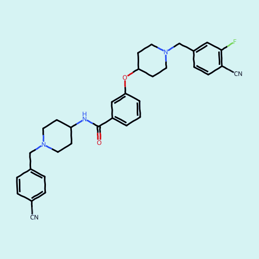 N#Cc1ccc(CN2CCC(NC(=O)c3cccc(OC4CCN(Cc5ccc(C#N)c(F)c5)CC4)c3)CC2)cc1